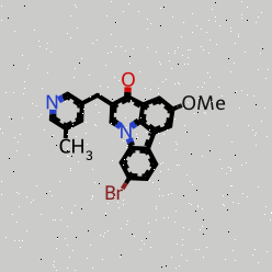 COc1cc2c(=O)c(Cc3cncc(C)c3)cn3c4cc(Br)ccc4c(c1)c23